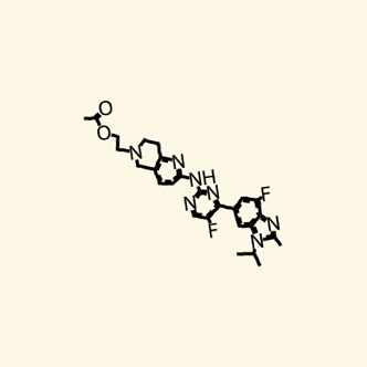 CC(=O)OCCN1CCc2nc(Nc3ncc(F)c(-c4cc(F)c5nc(C)n(C(C)C)c5c4)n3)ccc2C1